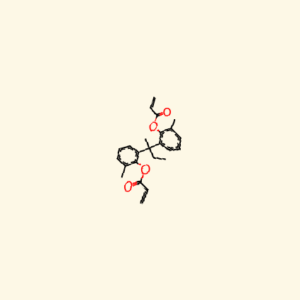 C=CC(=O)Oc1c(C)cccc1C(C)(CC)c1cccc(C)c1OC(=O)C=C